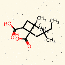 CCC(C)(C)CC1(C(=O)O)C(C(=O)O)CC1(C)C